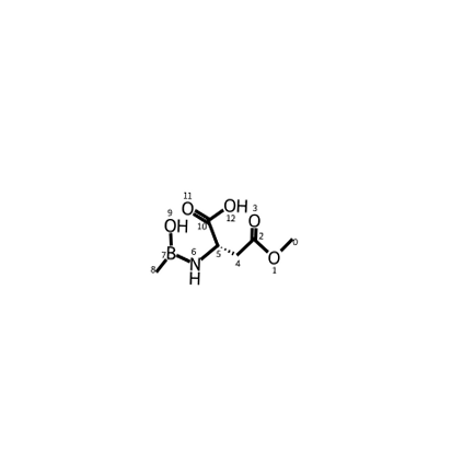 COC(=O)C[C@H](NB(C)O)C(=O)O